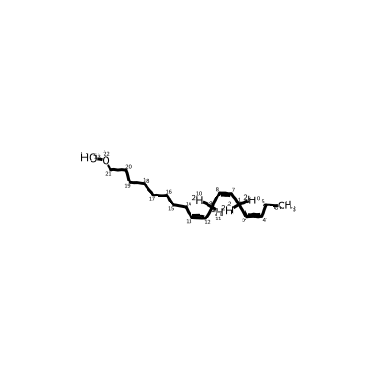 [2H]C([2H])(/C=C\CC)/C=C\C([2H])([2H])/C=C\CCCCCCCCOO